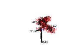 CCCCCCCC/C=C\CCCCCCCCCCCCCC(=O)N[C@@H](CO[C@@H]1OC(CO)[C@@H](O[C@@H]2OC(CO[C@@H]3OC(CO)[C@@H](O[C@@H]4OC(CO)[C@H](O)[C@H](O)C4O)[C@H](O)C3NC(C)=O)[C@H](O)[C@H](O[C@@H]3OC(CO)[C@@H](O[C@H]4OC(C)[C@@H](O)C(O)[C@@H]4O)[C@H](O[C@@H]4OC(CO)[C@H](O)[C@H](O[C@]5(C(=O)O)CC(O)[C@@H](NC(C)=O)C([C@H](O)[C@H](O)CO)O5)C4O)C3NC(C)=O)C2O)[C@H](O)C1O)[C@H](O)/C=C/CCCCCCCCCCCCC